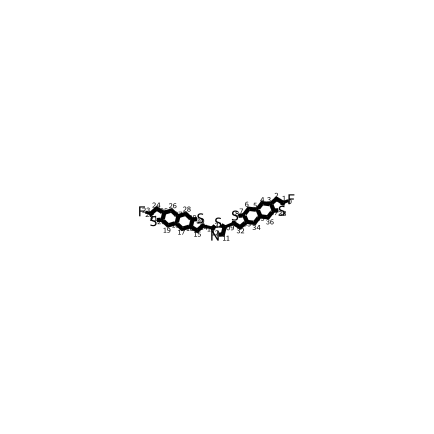 Fc1cc2cc3cc4sc(-c5cnc(-c6cc7cc8cc9sc(F)cc9cc8cc7s6)s5)cc4cc3cc2s1